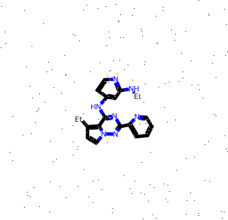 CCNc1cc(Nc2nc(-c3ccccn3)nn3ccc(CC)c23)ccn1